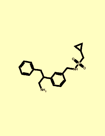 NCC(Cc1ccccc1)c1cccc(CNS(=O)(=O)CC2CC2)c1